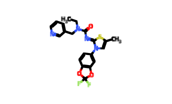 CCN(Cc1cccnc1)C(=O)N=c1sc(C)cn1-c1ccc2c(c1)OC(F)(F)O2